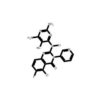 CCN(c1nc(N)nc(N)c1C#N)c1nc2ccc(F)c(Cl)c2c(=O)n1-c1cccnc1